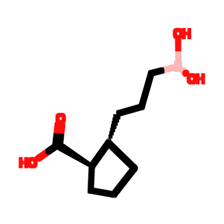 O=C(O)[C@@H]1CCC[C@H]1CCCB(O)O